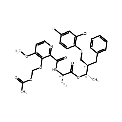 COc1ccnc(C(=O)N[C@@H](C)C(=O)O[C@@H](C)[C@@H](COc2ccc(Cl)cc2Cl)Cc2ccccc2)c1OCOC(C)=O